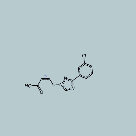 O=C(O)/C=C\Cn1cnc(-c2cccc(Cl)c2)n1